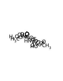 CC(=O)OCC1=C(C(=O)O)N2C(=O)[C@H](NC(=O)Cc3ccccc3NC(=O)OC(C)(C)C)[C@H]2SC1